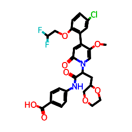 COc1cn(C(CC2COCCO2)C(=O)Nc2ccc(C(=O)O)cc2)c(=O)cc1-c1cc(Cl)ccc1OCC(F)F